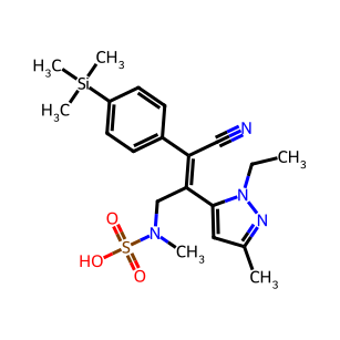 CCn1nc(C)cc1/C(CN(C)S(=O)(=O)O)=C(\C#N)c1ccc([Si](C)(C)C)cc1